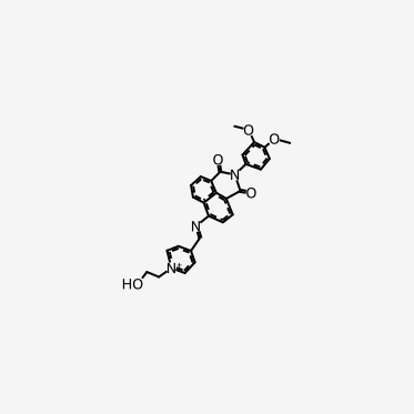 COc1ccc(N2C(=O)c3cccc4c(N=Cc5cc[n+](CCO)cc5)ccc(c34)C2=O)cc1OC